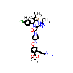 COC(=O)c1ccc(ON=C2CCN(C(=O)C[C@@H]3N=C(c4ccc(Cl)cc4)c4c(sc(C)c4C)-n4c(C)nnc43)CC2)cc1C#CCN